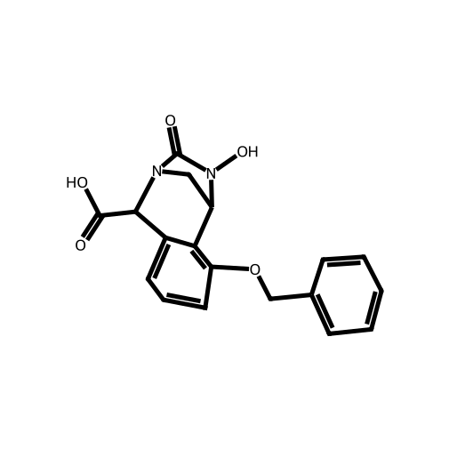 O=C(O)C1c2cccc(OCc3ccccc3)c2C2CN1C(=O)N2O